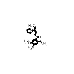 CCc1cc(N)c(OC)cc1NCCC(CC)N1CCCC1